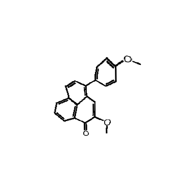 COC1=Cc2c(-c3ccc(OC)cc3)ccc3cccc(c23)C1=O